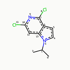 CC(C)n1ccc2c(Cl)nc(Cl)cc21